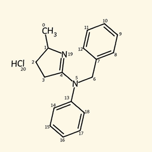 CC1CCC(N(Cc2ccccc2)c2ccccc2)=N1.Cl